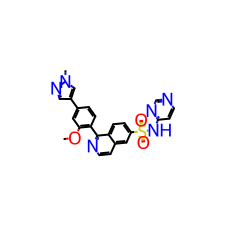 COc1cc(-c2cnn(C)c2)ccc1-c1nccc2cc(S(=O)(=O)Nc3ccncn3)ccc12